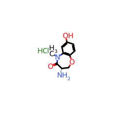 CN1C(=O)[C@@H](N)COc2ccc(O)cc21.Cl